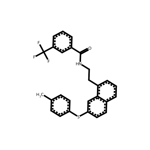 Cc1ccc(Sc2ccc3cccc(CCNC(=O)c4cccc(C(F)(F)F)c4)c3c2)cc1